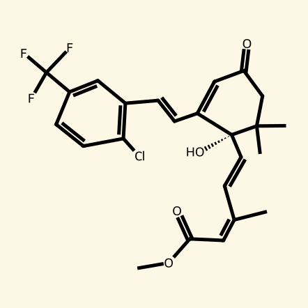 COC(=O)/C=C(C)\C=C\[C@@]1(O)C(/C=C/c2cc(C(F)(F)F)ccc2Cl)=CC(=O)CC1(C)C